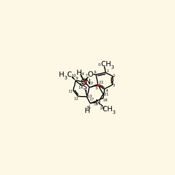 Cc1ccc2c3c1O[C@H]1[C@@]4(C)C=C[C@@]5(SC4C#N)[C@@H](C2)N(C)CC[C@]315